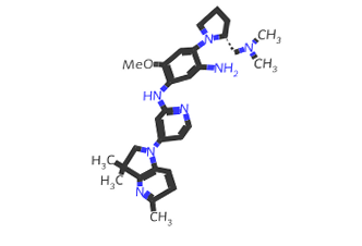 COc1cc(N2CCC[C@@H]2CN(C)C)c(N)cc1Nc1cc(N2CC(C)(C)c3nc(C)ccc32)ccn1